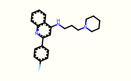 Fc1ccc(-c2cc(NCCCN3CCCCC3)c3ccccc3n2)cc1